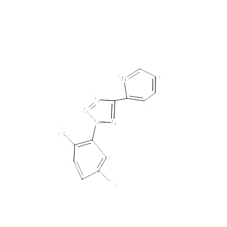 Clc1ccc(Cl)c(-n2nnc(-c3ccccn3)n2)c1